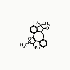 CN1OC2=C(c3ccccc3CC3C(=O)C(C)(C)c4cccc2c43)C1C(C)(C)C